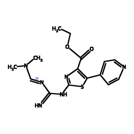 CCOC(=O)c1nc(NC(=N)/N=C/N(C)C)sc1-c1ccncc1